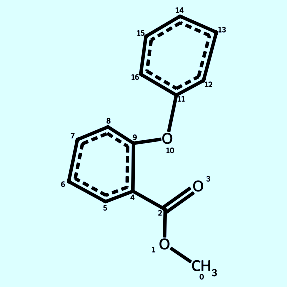 COC(=O)c1ccccc1Oc1ccccc1